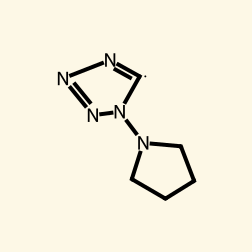 [c]1nnnn1N1CCCC1